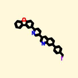 ICc1ccc(-c2ccc3cc(-c4ccc(-c5ccc6oc7ccccc7c6c5)nc4)cnc3c2)cc1